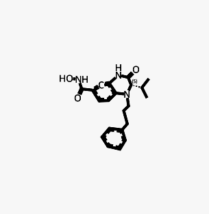 CC(C)[C@H]1C(=O)Nc2cc(C(=O)NO)ccc2N1CCCc1ccccc1